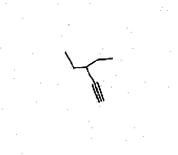 C#CC([CH]C)CC